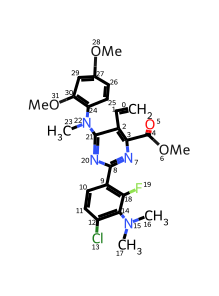 C=Cc1c(C(=O)OC)nc(-c2ccc(Cl)c(N(C)C)c2F)nc1N(C)c1ccc(OC)cc1OC